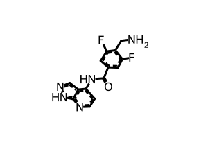 NCc1c(F)cc(C(=O)Nc2ccnc3[nH]ncc23)cc1F